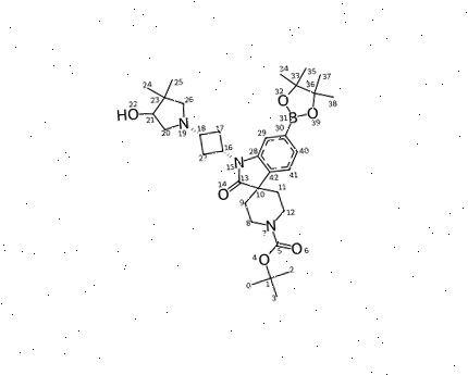 CC(C)(C)OC(=O)N1CCC2(CC1)C(=O)N([C@H]1C[C@@H](N3CC(O)C(C)(C)C3)C1)c1cc(B3OC(C)(C)C(C)(C)O3)ccc12